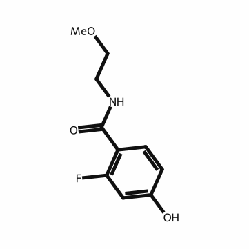 COCCNC(=O)c1ccc(O)cc1F